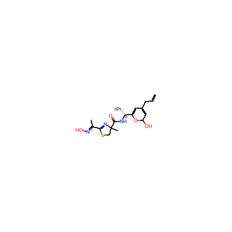 C=CCC1=CC(O)OC([C@@H](CCC)NC(=O)C2(C)CSC(/C(C)=N/O)=N2)=C1